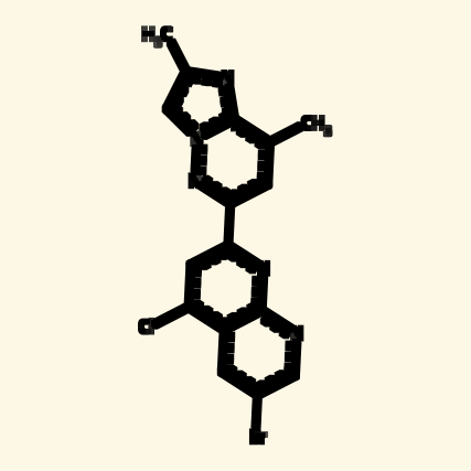 Cc1cn2nc(-c3cc(Cl)c4cc(Br)cnc4n3)cc(C)c2n1